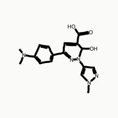 CN(C)c1ccc(C2=NN(c3cnn(C)c3)C(O)C(C(=O)O)=C2)cc1